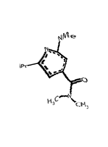 CNc1cc(C(=O)N(C)C)cc(C(C)C)n1